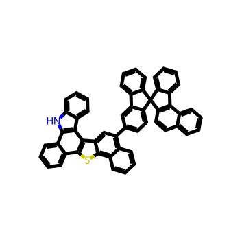 c1ccc2c(c1)-c1cc(-c3cc4c(sc5c6ccccc6c6[nH]c7ccccc7c6c45)c4ccccc34)ccc1C21c2ccccc2-c2c1ccc1ccccc21